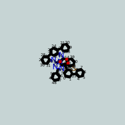 C1=CC2c3ccccc3SC2C(c2ccc(-n3c4ccccc4c4ccc5c6ccccc6n(-c6nc(-c7ccccc7)nc(-c7ccccc7)n6)c5c43)cc2)=C1